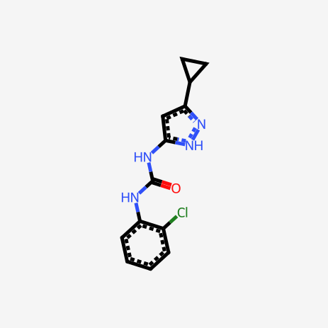 O=C(Nc1cc(C2CC2)n[nH]1)Nc1ccccc1Cl